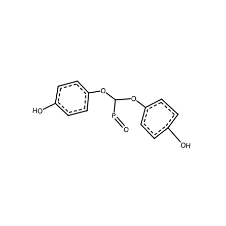 O=PC(Oc1ccc(O)cc1)Oc1ccc(O)cc1